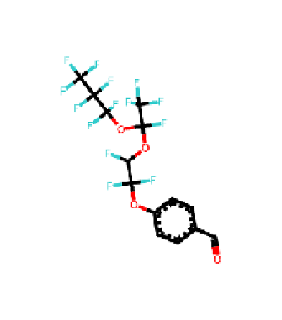 O=Cc1ccc(OC(F)(F)C(F)OC(F)(OC(F)(F)C(F)(F)C(F)(F)F)C(F)(F)F)cc1